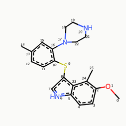 COc1ccc2[nH]cc(Sc3ccc(C)cc3N3CCNCC3)c2c1C